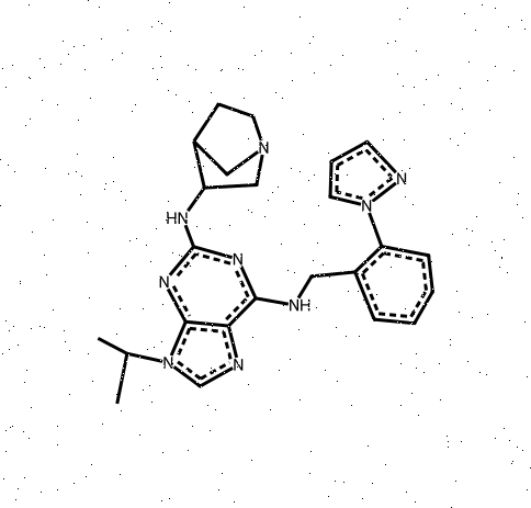 CC(C)n1cnc2c(NCc3ccccc3-n3cccn3)nc(NC3CN4CCC3C4)nc21